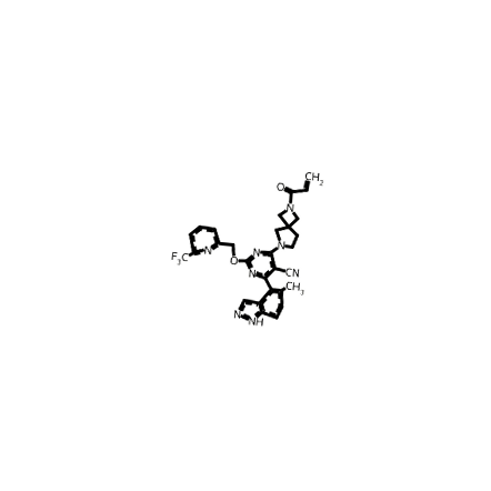 C=CC(=O)N1CC2(CCN(c3nc(OCc4cccc(C(F)(F)F)n4)nc(-c4c(C)ccc5[nH]ncc45)c3C#N)C2)C1